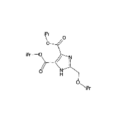 CC(C)OCc1nc(C(=O)OC(C)C)c(C(=O)OC(C)C)[nH]1